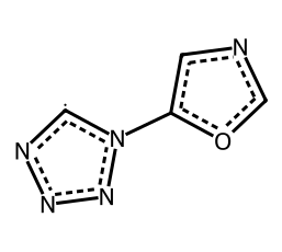 [c]1nnnn1-c1cnco1